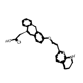 O=C(O)C[C@@H]1Cc2ccc(OCCc3ccc4c(n3)NCCC4)cc2Cc2ccccc21